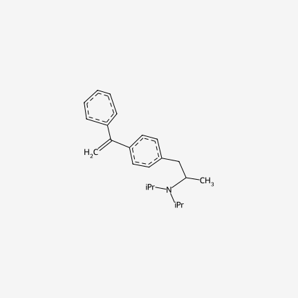 C=C(c1ccccc1)c1ccc(CC(C)N(C(C)C)C(C)C)cc1